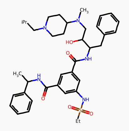 CCS(=O)(=O)Nc1cc(C(=O)NC(C)c2ccccc2)cc(C(=O)NC(Cc2ccccc2)C(O)CN(C)C2CCN(CC(C)C)CC2)c1